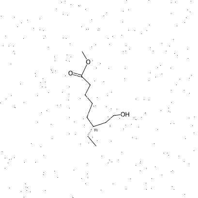 CC[C@@H](CCO)CCCCC(=O)OC